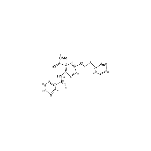 COC(=O)c1cc(SCCc2ccccc2)ccc1NC(=O)c1ccccc1